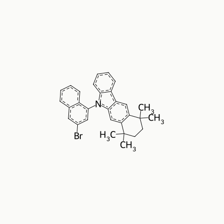 CC1(C)CCC(C)(C)c2cc3c(cc21)c1ccccc1n3-c1cc(Br)cc2ccccc12